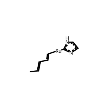 CC=CC=[CH][Ru][c]1ncc[nH]1